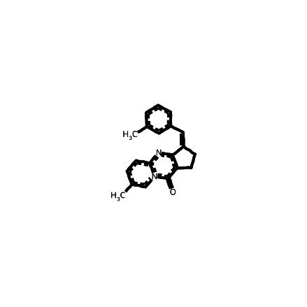 Cc1cccc(/C=C2/CCc3c2nc2ccc(C)cn2c3=O)c1